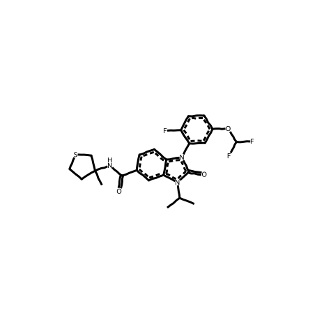 CC(C)n1c(=O)n(-c2cc(OC(F)F)ccc2F)c2ccc(C(=O)NC3(C)CCSC3)cc21